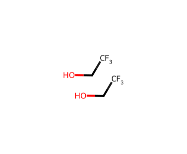 OCC(F)(F)F.OCC(F)(F)F